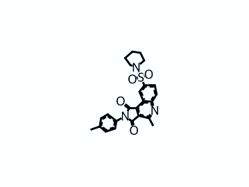 Cc1ccc(N2C(=O)c3c(C)nc4ccc(S(=O)(=O)N5CCCCC5)cc4c3C2=O)cc1